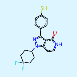 O=c1[nH]ccc2c1c(-c1ccc(S)cc1)nn2C1CCC(F)(F)CC1